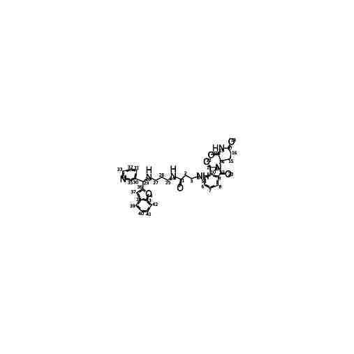 O=C(CCNc1cccc2c1C(=O)N(C1CCC(=O)NC1=O)C2=O)NCCCNC(c1cccnc1)c1cc2ccccc2o1